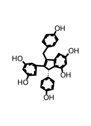 Oc1ccc(CC2=C(c3cc(O)cc(O)c3)[C@@H](c3ccc(O)cc3)c3c(O)cc(O)cc32)cc1